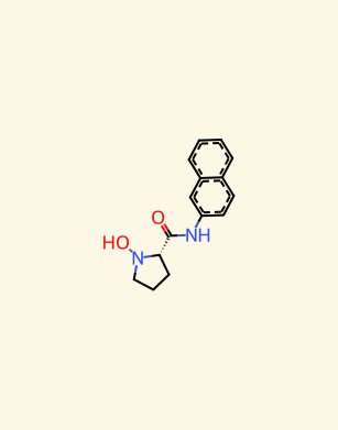 O=C(Nc1ccc2ccccc2c1)[C@@H]1CCCN1O